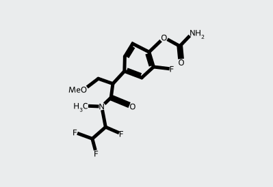 COCC(C(=O)N(C)C(F)C(F)F)c1ccc(OC(N)=O)c(F)c1